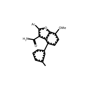 COc1ccc(-c2cccc(C)c2)c2c(C(N)=O)c(C(C)=O)oc12